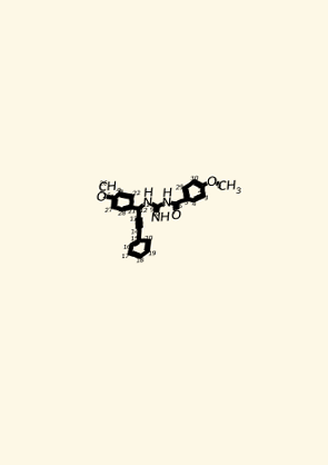 COc1ccc(C(=O)NC(=N)NC(C#Cc2ccccc2)c2ccc(OC)cc2)cc1